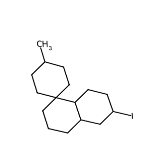 CC1CCC2(CCCC3CC(I)CCC32)CC1